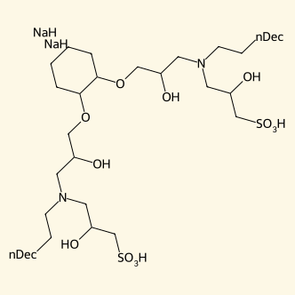 CCCCCCCCCCCCN(CC(O)COC1CCCCC1OCC(O)CN(CCCCCCCCCCCC)CC(O)CS(=O)(=O)O)CC(O)CS(=O)(=O)O.[NaH].[NaH]